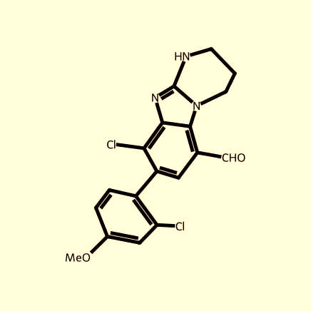 COc1ccc(-c2cc(C=O)c3c(nc4n3CCCN4)c2Cl)c(Cl)c1